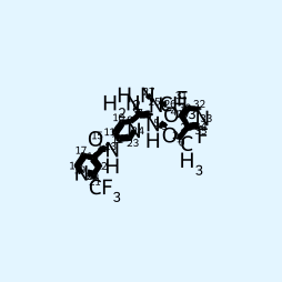 C[C@@H](OC(=O)N/C(=C(/N)c1ccc(NC(=O)c2ccnc(C(F)(F)F)c2)cn1)N(C)N)c1cc(F)cnc1F